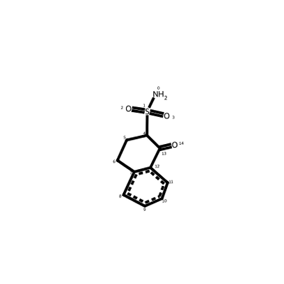 NS(=O)(=O)C1CCc2ccccc2C1=O